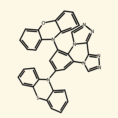 c1ccc2c(c1)Oc1ccccc1N2c1cc(N2c3ccccc3Sc3ccccc32)cc2c1n1cnnc1c1nncn21